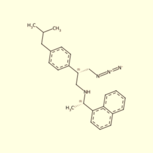 CC(C)Cc1ccc([C@H](CN=[N+]=[N-])CN[C@@H](C)c2cccc3ccccc23)cc1